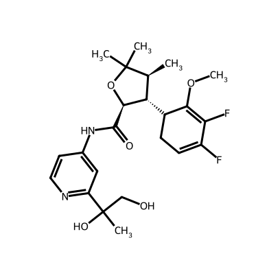 COC1=C(F)C(F)=CCC1[C@@H]1[C@@H](C(=O)Nc2ccnc(C(C)(O)CO)c2)OC(C)(C)[C@H]1C